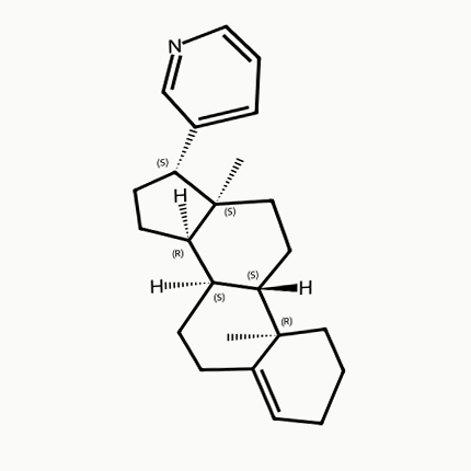 C[C@]12CC[C@H]3[C@@H](CCC4=CCCC[C@@]43C)[C@H]1CC[C@@H]2c1cccnc1